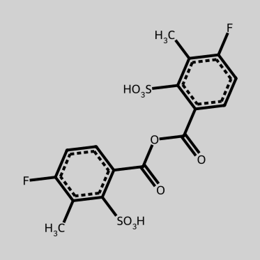 Cc1c(F)ccc(C(=O)OC(=O)c2ccc(F)c(C)c2S(=O)(=O)O)c1S(=O)(=O)O